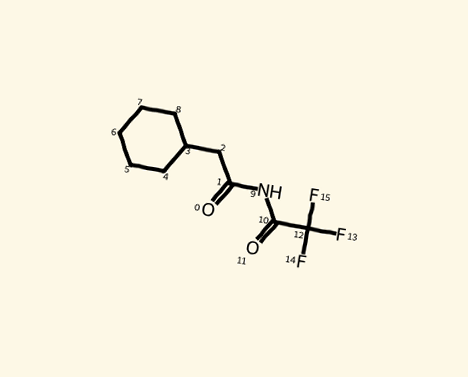 O=C(CC1CCCCC1)NC(=O)C(F)(F)F